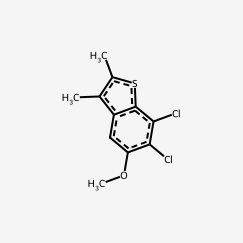 COc1cc2c(C)c(C)sc2c(Cl)c1Cl